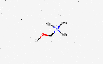 CCCC[N+](CCCC)(CCCC)COCC